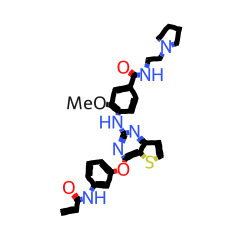 C=CC(=O)Nc1cccc(Oc2nc(Nc3ccc(C(=O)NCCN4CCCC4)cc3OC)nc3ccsc23)c1